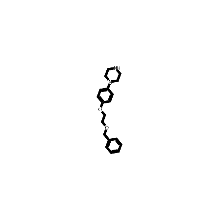 c1ccc(COCCOc2ccc(N3CCNCC3)cc2)cc1